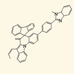 C=C1c2c(/C=C\C)c3ccccc3n2-c2ccc(-c3ccc(C4=NC5C=CC=CC5N4C)cc3)cc2C12c1ccccc1-c1ccccc12